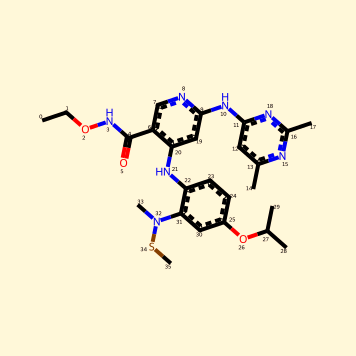 CCONC(=O)c1cnc(Nc2cc(C)nc(C)n2)cc1Nc1ccc(OC(C)C)cc1N(C)SC